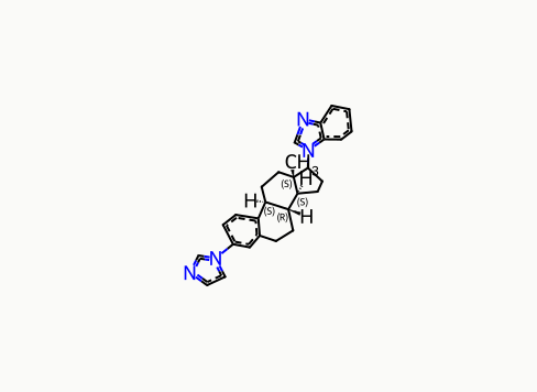 C[C@]12CC[C@@H]3c4ccc(-n5ccnc5)cc4CC[C@H]3[C@@H]1CCC2n1cnc2ccccc21